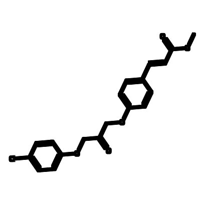 COC(=O)C=Cc1ccc(OCC(=O)COc2ccc(Cl)cc2)cc1